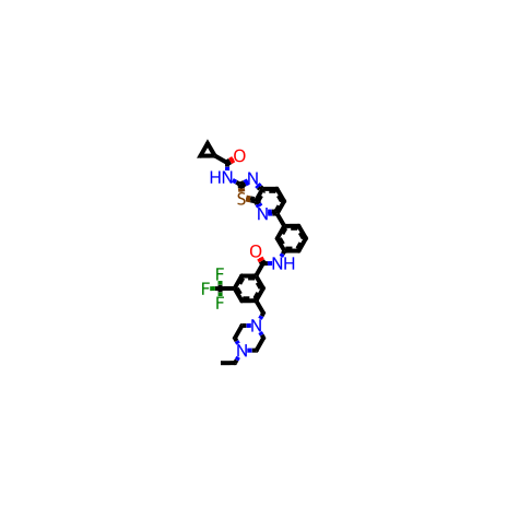 CCN1CCN(Cc2cc(C(=O)Nc3cccc(-c4ccc5nc(NC(=O)C6CC6)sc5n4)c3)cc(C(F)(F)F)c2)CC1